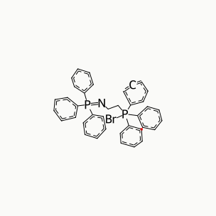 BrP(CCN=P(c1ccccc1)(c1ccccc1)c1ccccc1)(c1ccccc1)(c1ccccc1)c1ccccc1